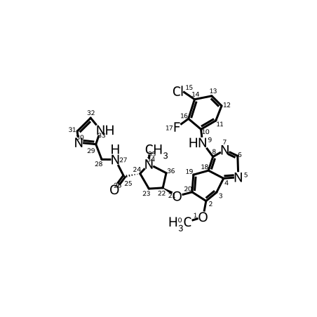 COc1cc2ncnc(Nc3cccc(Cl)c3F)c2cc1O[C@H]1C[C@H](C(=O)NCc2ncc[nH]2)N(C)C1